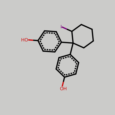 Oc1ccc(C2(c3ccc(O)cc3)CCCCC2I)cc1